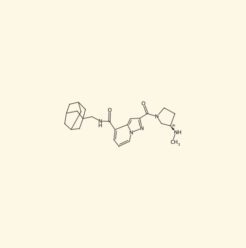 CN[C@@H]1CCN(C(=O)c2cc3c(C(=O)NCC45CC6CC(CC(C6)C4)C5)cccn3n2)C1